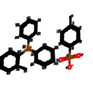 Cc1ccc(S(=O)(=O)[O-])cc1.Cc1ccccc1[S+](c1ccccc1)c1ccccc1